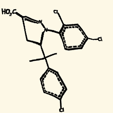 CC(C)(c1ccc(Cl)cc1)C1CC(C(=O)O)=NN1c1ccc(Cl)cc1Cl